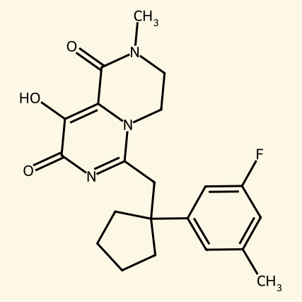 Cc1cc(F)cc(C2(Cc3nc(=O)c(O)c4n3CCN(C)C4=O)CCCC2)c1